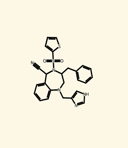 N#CC1c2ccccc2N(Cc2c[nH]cn2)CC(Cc2ccccc2)N1S(=O)(=O)c1cccs1